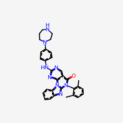 Cc1cccc(C)c1-n1c(=O)c2cnc(Nc3ccc(N4CCCNCC4)cc3)nc2n2c3ccccc3nc12